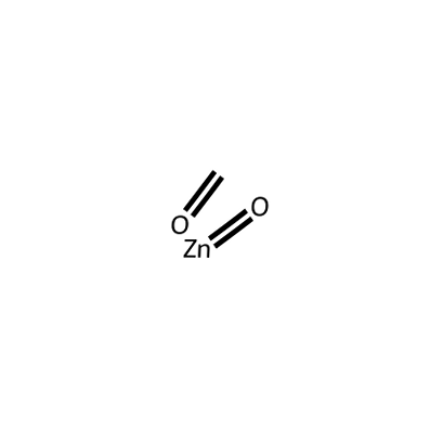 C=O.[O]=[Zn]